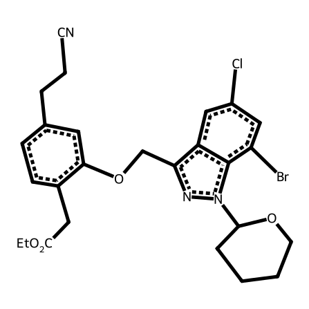 CCOC(=O)Cc1ccc(CCC#N)cc1OCc1nn(C2CCCCO2)c2c(Br)cc(Cl)cc12